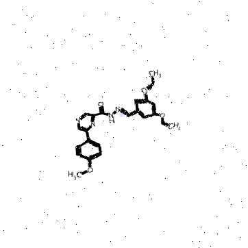 CCOc1cc(/C=N/NC(=O)c2cncc(-c3ccc(OC)cc3)n2)cc(OCC)c1